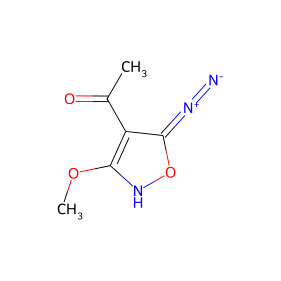 COc1[nH]oc(=[N+]=[N-])c1C(C)=O